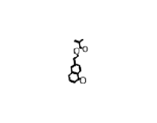 C=C(C)C(=O)OCCc1ccc2c(c1)CC=CC2=O